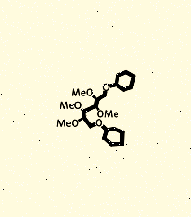 CO[C@@H]([C@H](OC)[C@@H](COC1CCCCC1)OC)[C@H](COC1CCCCC1)OC